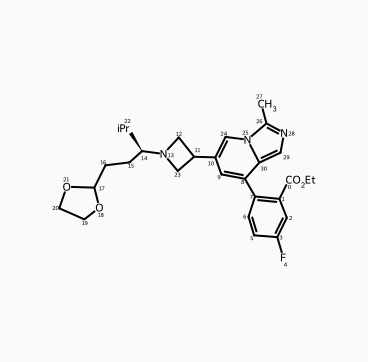 CCOC(=O)c1cc(F)ccc1-c1cc(C2CN([C@@H](CCC3OCCO3)C(C)C)C2)cn2c(C)ncc12